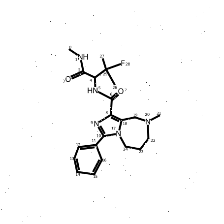 CNC(=O)C(NC(=O)c1nc(-c2ccccc2)n2c1CN(C)CCC2)C(C)(C)F